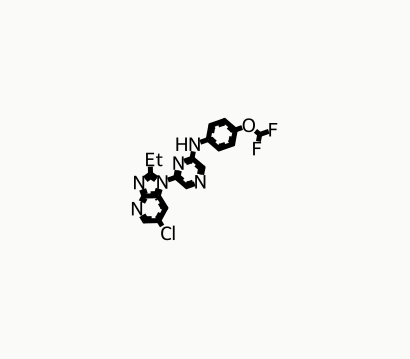 CCc1nc2ncc(Cl)cc2n1-c1cncc(Nc2ccc(OC(F)F)cc2)n1